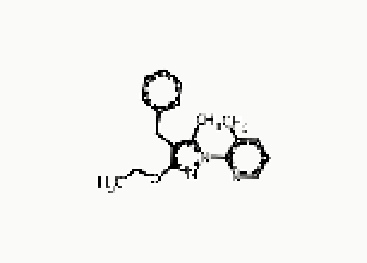 CCOc1nn(-c2ncccc2C)c(C)c1Cc1ccccc1